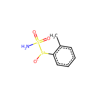 Cc1ccccc1[S+]([O-])S(N)(=O)=O